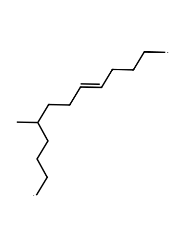 [CH2]CCC/C=C/CCC(C)CCC[CH2]